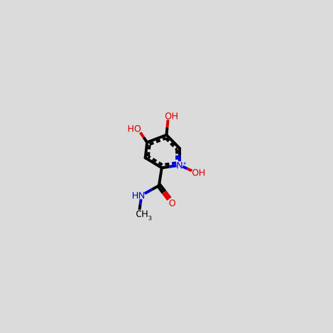 CNC(=O)c1cc(O)c(O)c[n+]1O